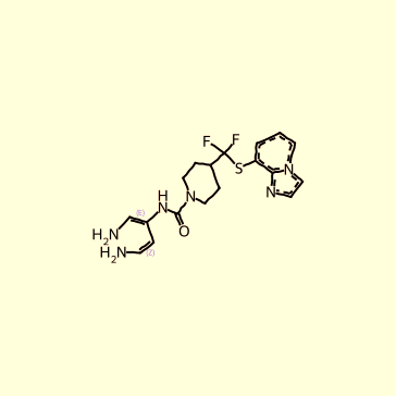 N/C=C\C(=C/N)NC(=O)N1CCC(C(F)(F)Sc2cccn3ccnc23)CC1